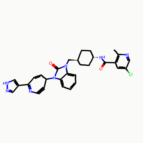 Cc1ncc(Cl)cc1C(=O)N[C@H]1CC[C@H](Cn2c(=O)n(C3C#CN=C(c4cn[nH]c4)C=C3)c3ccccc32)CC1